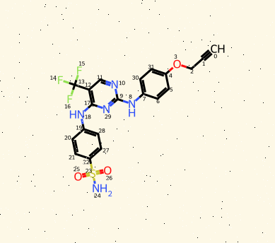 C#CCOc1ccc(Nc2ncc(C(F)(F)F)c(Nc3ccc(S(N)(=O)=O)cc3)n2)cc1